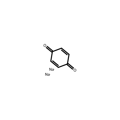 O=C1C=CC(=O)C=C1.[Na].[Na]